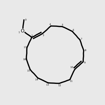 CO/C1=C\CCCCC/C=C/CCCCCCC1